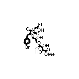 CCC(O)CN1C(=O)C(Cc2ccc(Br)cc2)N(CC(O)COC(=O)C(O)C(O)C(=O)OC)C1=O